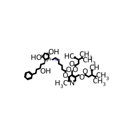 C#CC(CC(=O)OCc1cnc(C)c(OC(=O)CCC/C=C\C[C@@H]2[C@@H](CCC(O)CCc3ccccc3)[C@H](O)C[C@@H]2O)c1COC(=O)CC(C#C)C(C)C)C(C)C